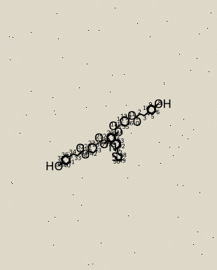 O=C(CCc1ccc(O)cc1)O[C@H]1CC[C@H](C(=O)Oc2ccc(OC(=O)[C@H]3CC[C@H](OC(=O)CCc4ccc(O)cc4)CC3)c3nc(-c4cccs4)ccc23)CC1